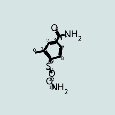 Cc1cc(C(N)=O)ccc1SOON